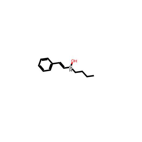 CCCC[SiH](O)C=Cc1ccccc1